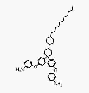 CCCCCCCCCCCC1CCC(C2CCC(c3ccc(Oc4cccc(N)c4)cc3)(c3ccc(Oc4cccc(N)c4)cc3)CC2)CC1